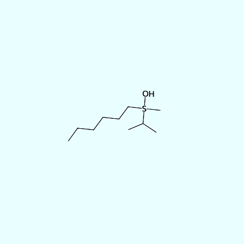 CCCCCCS(C)(O)C(C)C